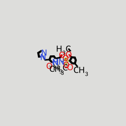 CCOc1ccc(CC)c(OC)c1S(=O)(=O)NC(=O)c1ccc(Cn2cccn2)c(OC)n1